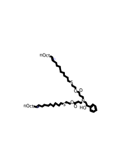 CCCCCCCC/C=C/CCCCCCCCSCCOC(=O)CCN(CCC(=O)OCCSCCCCCCCC/C=C/CCCCCCCC)CC(O)c1ccccc1